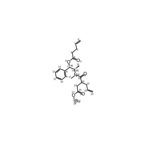 C=CCCC(=O)O[C@H](c1ccccc1)[C@@H](C)N(C)C(=O)C(CC=C)CC(=O)OC(C)(C)C